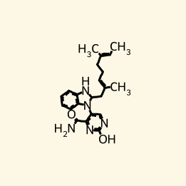 CC=C(C)CCC=C(C)CC1Nc2ccccc2N1c1cnc(O)nc1C(N)=O